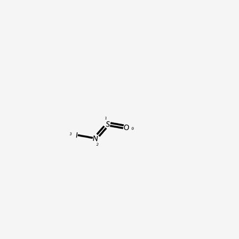 O=S=NI